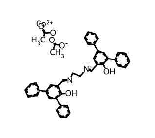 CC(=O)[O-].CC(=O)[O-].Oc1c(C=NCCN=Cc2cc(-c3ccccc3)cc(-c3ccccc3)c2O)cc(-c2ccccc2)cc1-c1ccccc1.[Co+2]